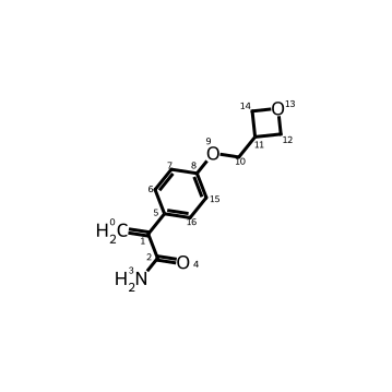 C=C(C(N)=O)c1ccc(OCC2COC2)cc1